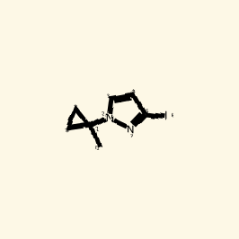 CC1(n2ccc(I)n2)CC1